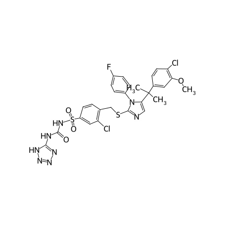 COc1cc(C(C)(C)c2cnc(SCc3ccc(S(=O)(=O)NC(=O)Nc4nnn[nH]4)cc3Cl)n2-c2ccc(F)cc2)ccc1Cl